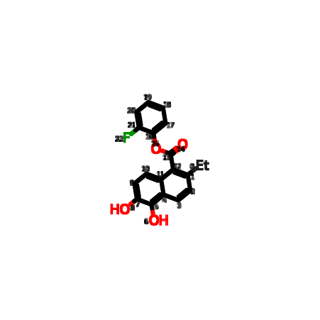 CCc1ccc2c(O)c(O)ccc2c1C(=O)Oc1ccccc1F